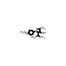 COc1ccc(-n2nc(C)c(O)c2C(C)C)cc1